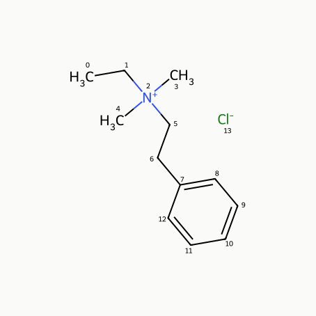 CC[N+](C)(C)CCc1ccccc1.[Cl-]